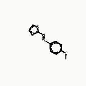 COc1ccc(N=Nc2nccs2)cc1